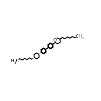 CCCCCCCC1CCC(c2ccc(-c3ccc([C@H]4CC[C@H](CCCCCCC)CC4)cc3)cc2)OC1